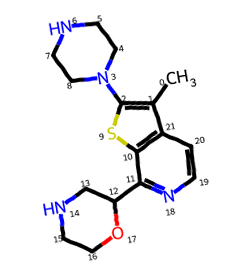 Cc1c(N2CCNCC2)sc2c(C3CNCCO3)nccc12